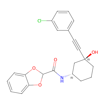 O=C(N[C@H]1CCC[C@@](O)(C#Cc2cccc(Cl)c2)C1)C1Oc2ccccc2O1